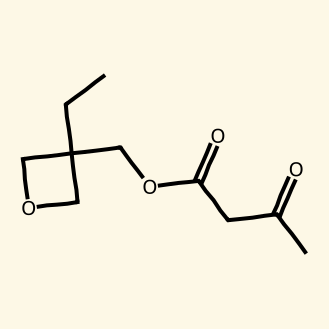 CCC1(COC(=O)CC(C)=O)COC1